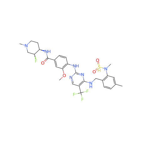 COc1cc(C(=O)N[C@@H]2CCN(C)C[C@@H]2F)ccc1Nc1ncc(C(F)(F)F)c(NCc2ccc(C)cc2N(C)[SH](=O)=O)n1